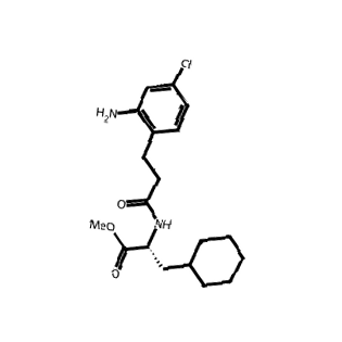 COC(=O)[C@@H](CC1CCCCC1)NC(=O)CCc1ccc(Cl)cc1N